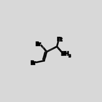 CCC([SiH3])C(Br)=CBr